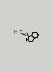 CCOC1=NCCc2ccccc21